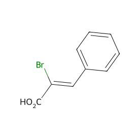 O=C(O)C(Br)=Cc1ccccc1